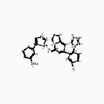 CC(=O)Oc1cccc(-c2cnc([C@@H]3CCc4cc(-c5cc(Cl)ccc5-n5cnnn5)cc(=O)n43)[nH]2)c1